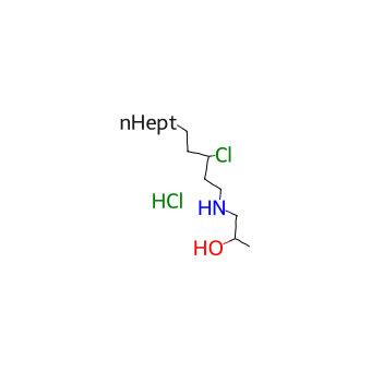 CCCCCCCCCC(Cl)CCNCC(C)O.Cl